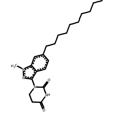 Cn1nc(N2CCC(=O)NC2=O)c2ccc(CCCCCCCCCCC=O)cc21